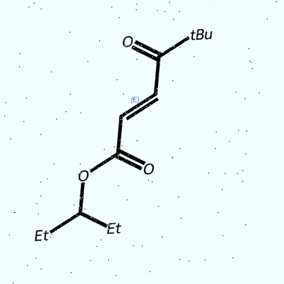 CCC(CC)OC(=O)/C=C/C(=O)C(C)(C)C